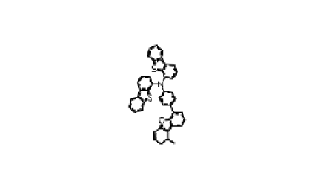 CC1CC=Cc2oc3c(-c4ccc(N(c5cccc6c5sc5ccccc56)c5cccc6c5sc5ccccc56)cc4)cccc3c21